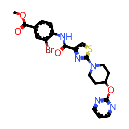 COC(=O)c1ccc(NC(=O)c2csc(N3CCC(Oc4ncccn4)CC3)n2)c(Br)c1